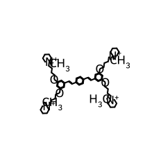 C[N+]1(CCCCOc2cc(/C=C/c3ccc(/C=C/c4cc(OCCCC[N+]5(C)CCCCC5)cc(OCCCC[N+]5(C)CCCCC5)c4)cc3)cc(OCCCC[N+]3(C)CCCCC3)c2)CCCCC1